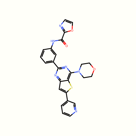 O=C(Nc1cccc(-c2nc(N3CCOCC3)c3sc(-c4cccnc4)cc3n2)c1)c1ncco1